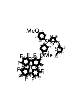 COc1ccc([S+](c2ccc(OC)cc2)c2ccc(Sc3ccc(C)s3)s2)cc1.Fc1c(F)c(F)c([B-](c2c(F)c(F)c(F)c(F)c2F)(c2c(F)c(F)c(F)c(F)c2F)c2c(F)c(F)c(F)c(F)c2F)c(F)c1F